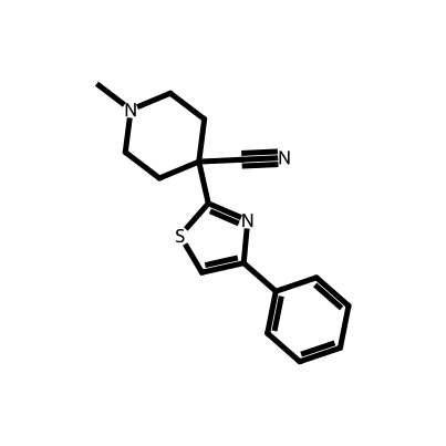 CN1CCC(C#N)(c2nc(-c3ccccc3)cs2)CC1